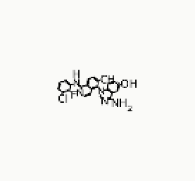 Cc1ccc2c(Nc3cccc(Cl)c3F)nccc2c1N1CN=C(N)c2cc(O)ccc21